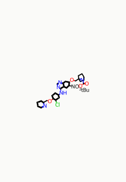 CC(C)(C)OC(=O)N1C2CCC1(COc1cc3ncnc(Nc4ccc(OCc5ccccn5)c(Cl)c4)c3cc1[N+](=O)[O-])CC2